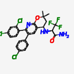 CC1(C)CC(N[C@H](C(N)=O)C(F)(F)F)c2cc(-c3ccc(Cl)cc3)c(-c3ccc(Cl)cc3Cl)nc2O1